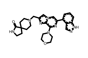 O=C1NCCC12CCN(Cc1cn3cc(-c4cccc5[nH]ncc45)nc(N4CCOCC4)c3n1)CC2